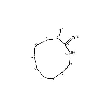 C[C@@H]1CCCCCCCCNC1=O